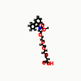 COC(=O)N(CCOCCOCCOCCOCCC(=O)O)C1c2ccccc2-c2ccccc21